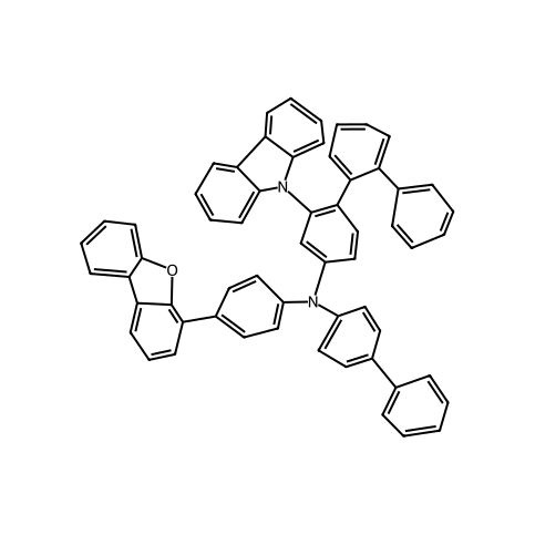 c1ccc(-c2ccc(N(c3ccc(-c4cccc5c4oc4ccccc45)cc3)c3ccc(-c4ccccc4-c4ccccc4)c(-n4c5ccccc5c5ccccc54)c3)cc2)cc1